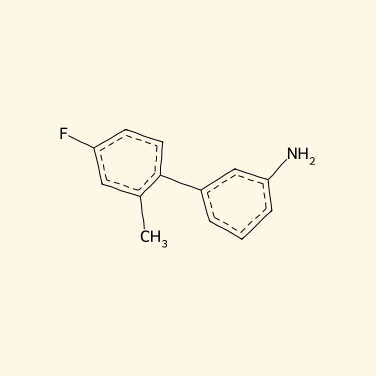 Cc1cc(F)ccc1-c1cccc(N)c1